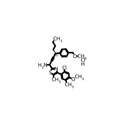 CCCC[C@H](C#CC(N)c1nc(-c2cc(C)c(OC)cc2Cl)c(C)s1)c1ccc(COC)cc1.Cl